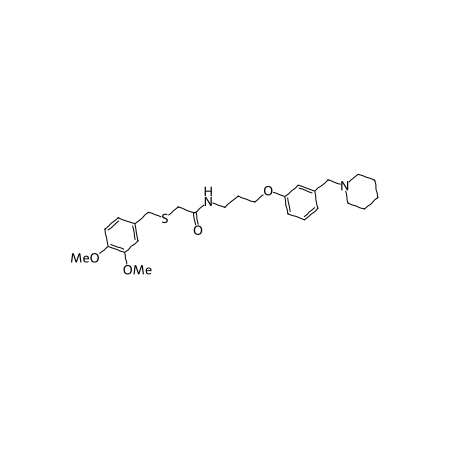 COc1ccc(CSCC(=O)NCCCOc2cccc(CN3CCCCC3)c2)cc1OC